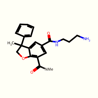 CNC(=O)c1cc(C(=O)NCCCN)cc2c1OCC2(C)c1ccccc1